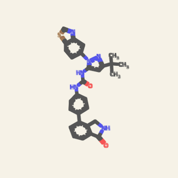 CC(C)(C)c1cc(NC(=O)Nc2ccc(-c3cccc4c3CNC4=O)cc2)n(-c2ccc3scnc3c2)n1